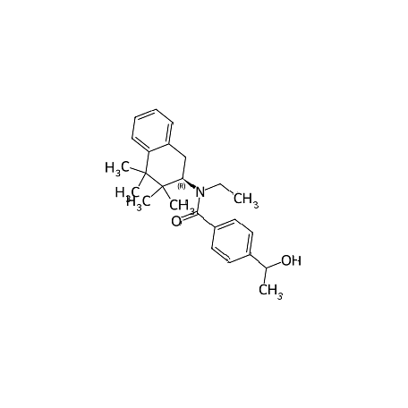 CCN(C(=O)c1ccc(C(C)O)cc1)[C@@H]1Cc2ccccc2C(C)(C)C1(C)C